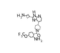 Nc1cc(OC(F)(F)F)ccc1C(=O)N1CCC(c2ccnc3[nH]c(C45CC(N)(C4)C5)nc23)CC1